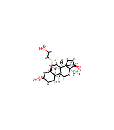 C[C@]12CC[C@H]3[C@@H](CC=C4CC(O)CC[C@@]43CSSCCO)[C@@H]1CCC2=O